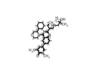 C=C/C(=C\NCC(C)(C)O)c1nc(N2CCOCC2C2CCCCC2)c2cc(-c3cc(C)c(=O)n(C)c3)ccc2n1